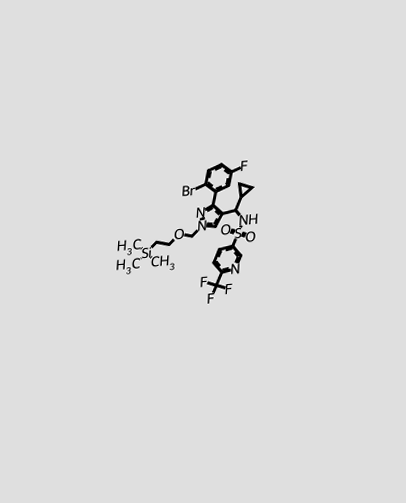 C[Si](C)(C)CCOCn1cc(C(NS(=O)(=O)c2ccc(C(F)(F)F)nc2)C2CC2)c(-c2cc(F)ccc2Br)n1